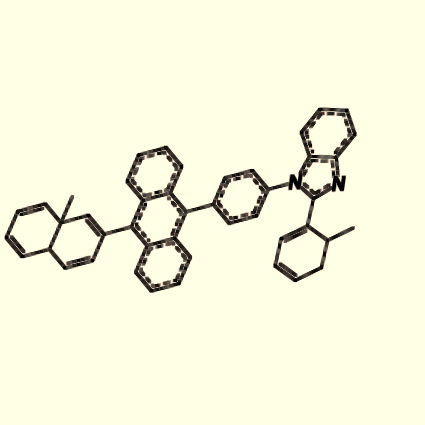 CC1CC=CC=C1c1nc2ccccc2n1-c1ccc(-c2c3ccccc3c(C3=CC4(C)C=CC=CC4C=C3)c3ccccc23)cc1